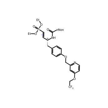 CCCCCCCCCC(=O)N[C@@H](/C=C/P(=O)(OCC)OCC)Cc1ccc(OCc2cc(OCC(F)(F)F)ccn2)cc1